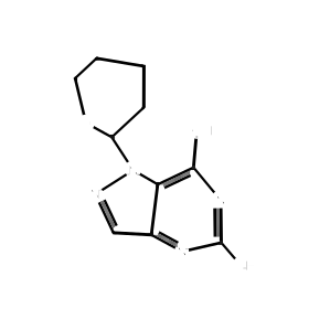 Oc1nc(S)nc2cnn(C3CCCCO3)c12